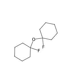 FC1(OC2(F)CCCCC2)CCCCC1